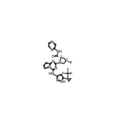 O=C(Nc1cnccn1)[C@@H]1C[C@@H](F)CN1c1nc(Nc2cc(C3(C(F)(F)F)CC3)[nH]n2)n2cccc2n1